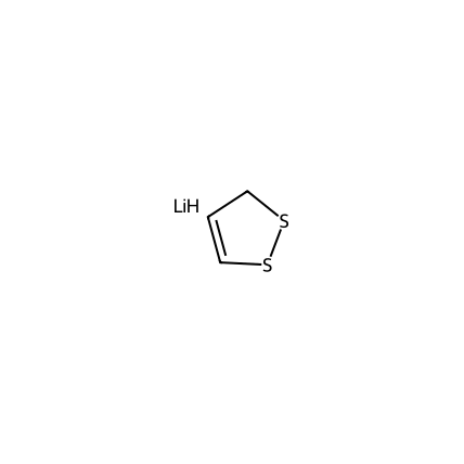 C1=CSSC1.[LiH]